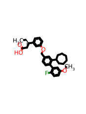 CC[C@H](CC(=O)O)c1cccc(OCc2ccc(-c3cc(OC)ccc3F)c(C3CCCCCC3)c2)c1